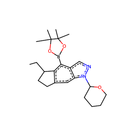 CCC1CCc2cc3c(cnn3C3CCCCO3)c(B3OC(C)(C)C(C)(C)O3)c21